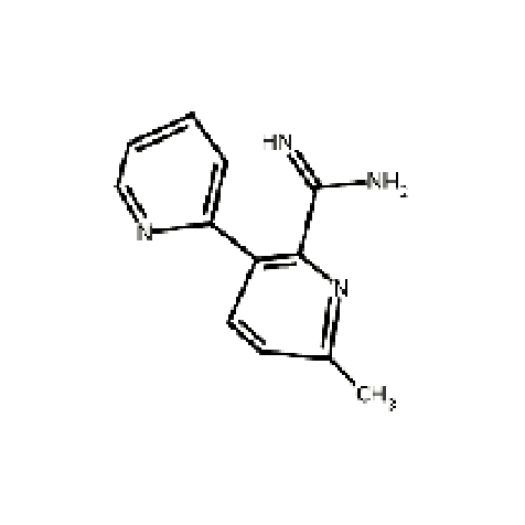 Cc1ccc(-c2ccccn2)c(C(=N)N)n1